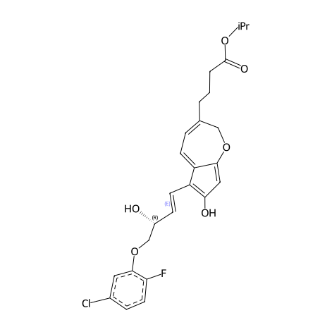 CC(C)OC(=O)CCCC1=CC=C2C(=CC(O)=C2/C=C/[C@@H](O)COc2cc(Cl)ccc2F)OC1